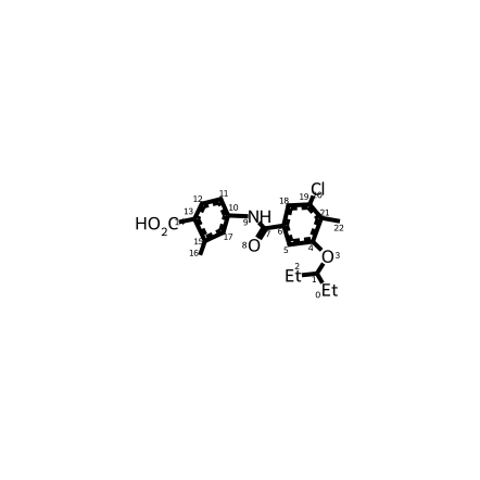 CCC(CC)Oc1cc(C(=O)Nc2ccc(C(=O)O)c(C)c2)cc(Cl)c1C